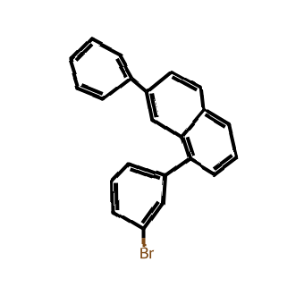 Brc1cccc(-c2cccc3ccc(-c4ccccc4)cc23)c1